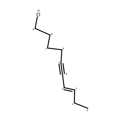 CCC=CC#CCCCCCl